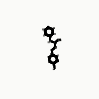 OB(OOc1ccc(F)cc1)Oc1ccccc1